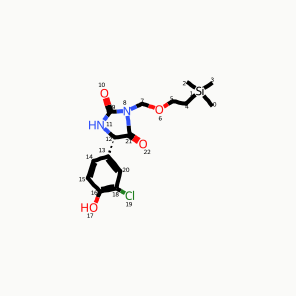 C[Si](C)(C)CCOCN1C(=O)N[C@@H](c2ccc(O)c(Cl)c2)C1=O